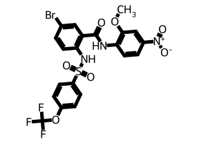 COc1cc([N+](=O)[O-])ccc1NC(=O)c1cc(Br)ccc1NS(=O)(=O)c1ccc(OC(F)(F)F)cc1